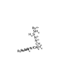 C.C.C.[N-3].[N-3].[N-3].[N-3].[Ru+4].[Ru+4].[Ru+4].[SiH4].[SiH4].[SiH4]